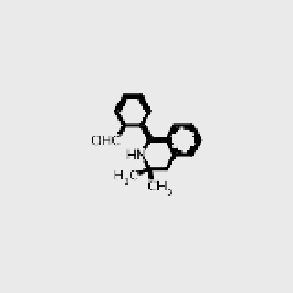 CC1(C)Cc2ccccc2C(=C2C=CC=CC2C=O)N1